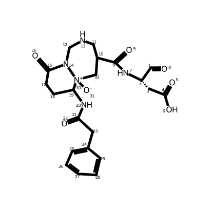 O=C[C@H](CC(=O)O)NC(=O)C1CNCN2C(=O)CCC(NC(=O)Cc3ccccc3)[N+]2([O-])C1